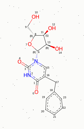 O=c1[nH]c(=O)n([C@@H]2O[C@H](CO)[C@@H](O)[C@H]2O)cc1Cc1ccccc1